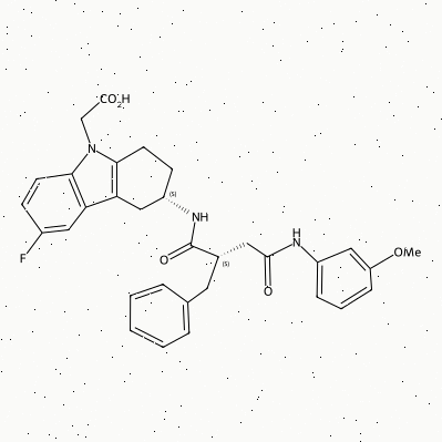 COc1cccc(NC(=O)C[C@H](Cc2ccccc2)C(=O)N[C@H]2CCc3c(c4cc(F)ccc4n3CC(=O)O)C2)c1